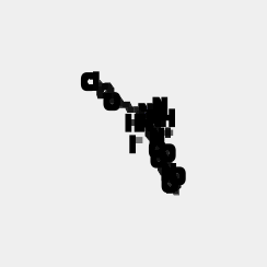 CC(C)(C)OC(=O)N1CCC(OC(=O)OC[n+]2ccc(N/C(=N\CCCCCCOc3ccc(Cl)cc3)NC#N)cc2)CC1.[I-]